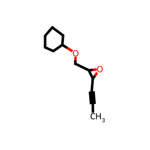 CC#CC1OC1COC1CCCCC1